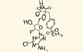 CS(=O)(=O)c1ccc(CC(OC[C@H]2O[C@@H](n3cnc4c(N)nc(Cl)nc43)[C@@H](F)[C@@H]2O)(C(=O)O)C(=O)O)cc1